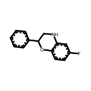 Fc1ccc2c(c1)NCC(c1ccccc1)O2